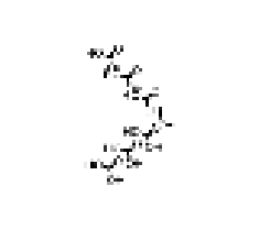 CCC.O=C(O)O.O=C(O)O.O=C(O)O.O=C(O)O.O=C(O)O.O=C(O)O